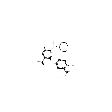 COc1nn(C)c2c(F)cc(Nc3nc(N[C@@H]4CCOC[C@@H]4NC(=O)O)c(F)cc3C(N)=O)cc12